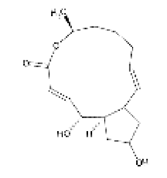 C[C@H]1CCC/C=C/C2CC(O)C[C@H]2[C@H](O)/C=C/C(=O)O1